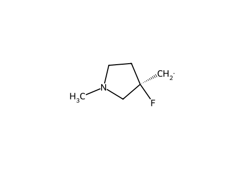 [CH2][C@@]1(F)CCN(C)C1